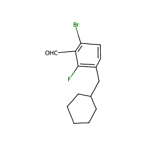 O=Cc1c(Br)ccc(CC2CCCCC2)c1F